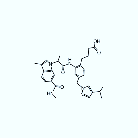 CNC(=O)c1ccc2c(C)cn(C(C)C(=O)Nc3cc(Cn4cc(C(C)C)cn4)ccc3CCCC(=O)O)c2c1